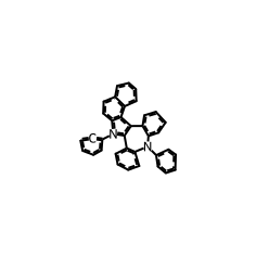 c1ccc(N2c3ccccc3-c3c(n(-c4ccccc4)c4ccc5ccccc5c34)-c3ccccc32)cc1